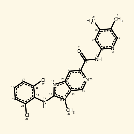 Cc1cnc(NC(=O)c2cc3nc(Nc4c(Cl)cccc4Cl)n(C)c3cn2)cc1C